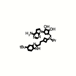 CC(C)N(C[C@H]1C[C@@H](n2ccc3c(N)ncnc32)[C@H](O)[C@@H]1O)C1CC(CCc2nc3cc(C(C)(C)C)ccc3[nH]2)C1